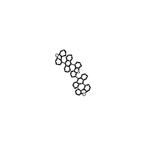 c1ccc2c(c1)oc1cccc(-c3c4ccccc4c(-c4cccc5c4sc4cccc(-c6c7ccccc7c(-c7cccc8oc9ccccc9c78)c7ccccc67)c45)c4ccccc34)c12